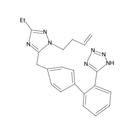 C=CCCn1nc(CC)nc1Cc1ccc(-c2ccccc2-c2nnn[nH]2)cc1